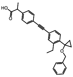 CCc1cc(C#Cc2ccc(C(C)C(=O)O)cc2)ccc1C1(OCc2ccccc2)CC1